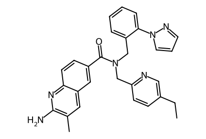 CCc1ccc(CN(Cc2ccccc2-n2cccn2)C(=O)c2ccc3nc(N)c(C)cc3c2)nc1